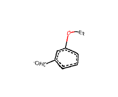 CCOc1cccc([C]=O)c1